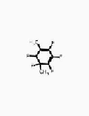 CC1=C(F)C(F)=C(F)C(C)(F)C1F